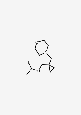 CC(I)OCC1(CN2CCOCC2)CC1